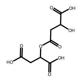 O=C(O)CC(OC(=O)CC(O)C(=O)O)C(=O)O